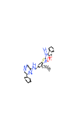 COc1cc(CNc2cncc(-c3ccccc3)n2)cc2sc(NC3c4ccccc4C[C@@H]3O)nc12